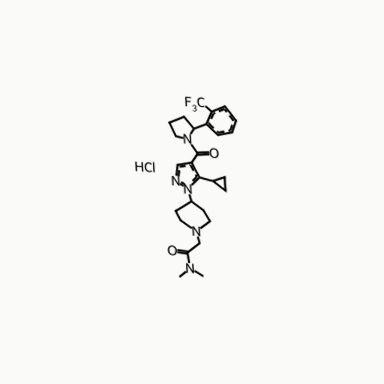 CN(C)C(=O)CN1CCC(n2ncc(C(=O)N3CCCC3c3ccccc3C(F)(F)F)c2C2CC2)CC1.Cl